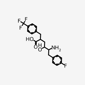 NC(Cc1ccc(F)cc1)C(O)CC(Cc1ccc(C(F)(F)F)cc1)C(=O)O